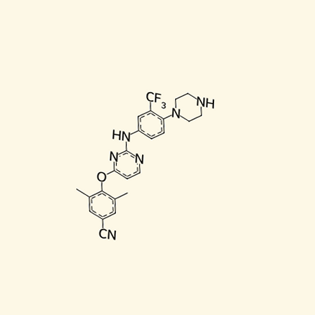 Cc1cc(C#N)cc(C)c1Oc1ccnc(Nc2ccc(N3CCNCC3)c(C(F)(F)F)c2)n1